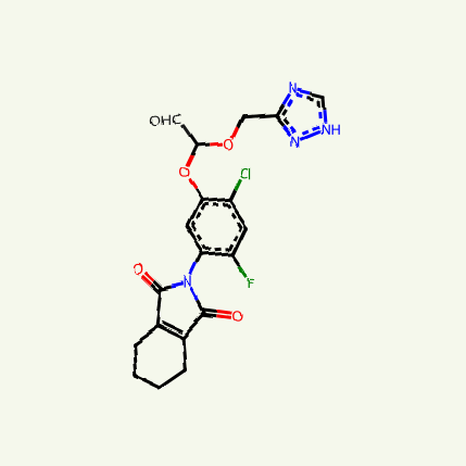 O=CC(OCc1nc[nH]n1)Oc1cc(N2C(=O)C3=C(CCCC3)C2=O)c(F)cc1Cl